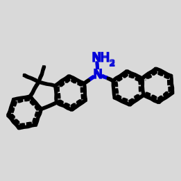 CC1(C)c2ccccc2-c2ccc(N(N)c3ccc4ccccc4c3)cc21